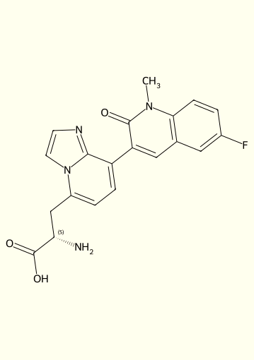 Cn1c(=O)c(-c2ccc(C[C@H](N)C(=O)O)n3ccnc23)cc2cc(F)ccc21